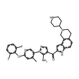 Cc1cc(Oc2c(F)cccc2F)ncc1-n1ncc(C(=O)c2cc3c4c(ccc3[nH]2)CCN(C2CCNCC2)C4)c1N